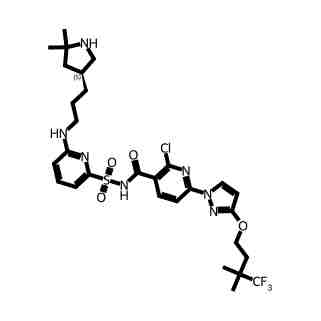 CC1(C)C[C@H](CCCNc2cccc(S(=O)(=O)NC(=O)c3ccc(-n4ccc(OCCC(C)(C)C(F)(F)F)n4)nc3Cl)n2)CN1